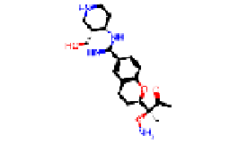 CC(=O)[C@@](C)(ON)[C@H]1CCc2cc(C(=N)N[C@H]3CCNC[C@H]3CO)ccc2O1